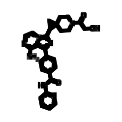 Nc1nccn2c(C3CC34CCN(C(=O)CO)CC4)nc(-c3ccc(C(=O)Nc4ccccn4)cc3)c12